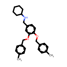 Cc1ccc(COc2ccc(CNC3CCCCC3)cc2OCc2ccc(C)cc2)cc1